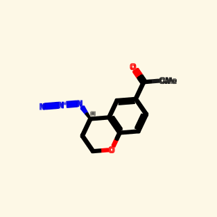 COC(=O)c1ccc2c(c1)[C@H](N=[N+]=[N-])CCO2